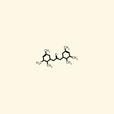 CC1=CC(C)C(C)C(CC(=O)CC2CC(C)=CC(C)C2C)C1